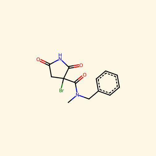 CN(Cc1ccccc1)C(=O)C1(Br)CC(=O)NC1=O